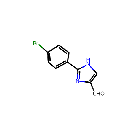 O=Cc1c[nH]c(-c2ccc(Br)cc2)n1